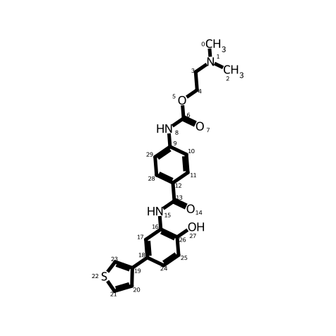 CN(C)CCOC(=O)Nc1ccc(C(=O)Nc2cc(-c3ccsc3)ccc2O)cc1